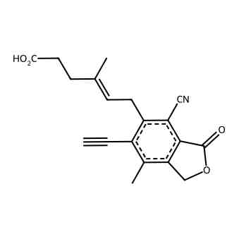 C#Cc1c(C)c2c(c(C#N)c1C/C=C(\C)CCC(=O)O)C(=O)OC2